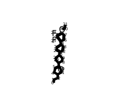 CCCC1CC=C(C2CCC(c3ccc(-c4ccc(OCC)c(F)c4F)cc3)CC2)OC1